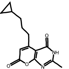 Cc1nc2oc(=O)cc(CCCC3CC3)c2c(=O)[nH]1